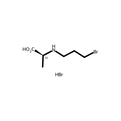 Br.C[C@H](NCCCBr)C(=O)O